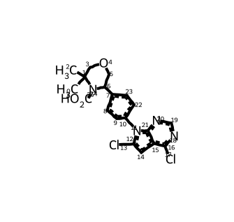 CC1(C)COCC(c2ccc(-n3c(Cl)cc4c(Cl)ncnc43)cc2)N1C(=O)O